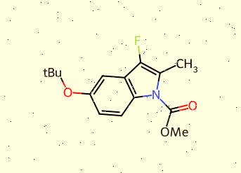 COC(=O)n1c(C)c(F)c2cc(OC(C)(C)C)ccc21